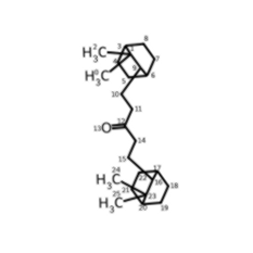 CC1(C)C2CCC(CC2)C1CCC(=O)CCC1C2CCC(CC2)C1(C)C